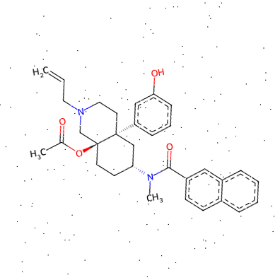 C=CCN1CC[C@@]2(c3cccc(O)c3)C[C@H](N(C)C(=O)c3ccc4ccccc4c3)CC[C@]2(OC(C)=O)C1